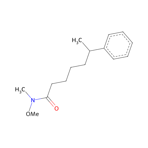 CON(C)C(=O)CCCCC(C)c1ccccc1